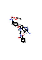 CN(CCN1C(=O)c2ccccc2C1=O)c1c(OC2CCC(NC(=O)OC(C)(C)C)CC2)ccc2c1CC(C)(C)c1c(N)ncnc1-2